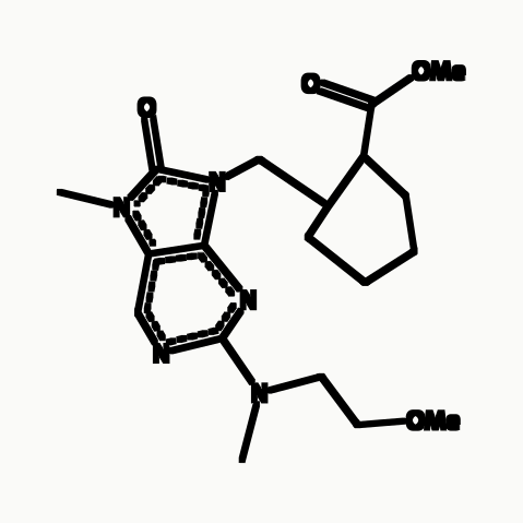 COCCN(C)c1ncc2c(n1)n(CC1CCCCC1C(=O)OC)c(=O)n2C